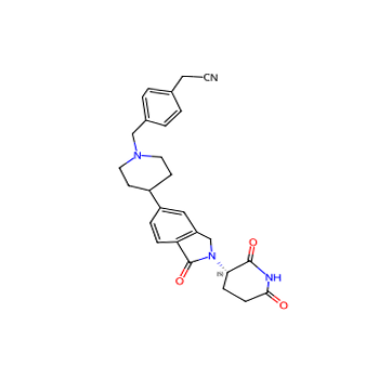 N#CCc1ccc(CN2CCC(c3ccc4c(c3)CN([C@H]3CCC(=O)NC3=O)C4=O)CC2)cc1